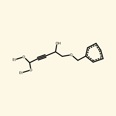 CCOC(C#CC(O)COCc1ccccc1)OCC